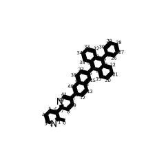 Cc1ncccc1-c1ccc(-c2ccc3cc(-c4c5ccccc5c(-c5ccccc5)c5ccccc45)ccc3c2)cn1